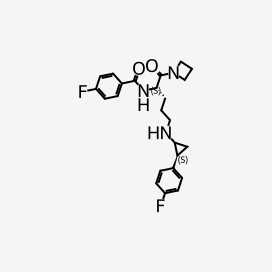 O=C(N[C@@H](CCCNC1C[C@H]1c1ccc(F)cc1)C(=O)N1CCC1)c1ccc(F)cc1